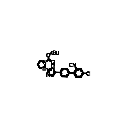 [C-]#[N+]c1cc(Cl)ccc1-c1ccc(-c2cnc([C@@H]3CCCN3C(=O)OC(C)(C)C)[nH]2)cc1